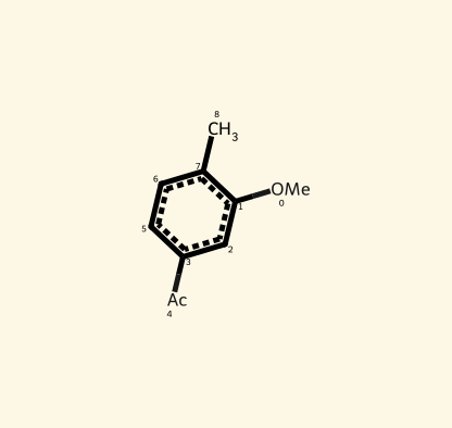 COc1cc(C(C)=O)ccc1C